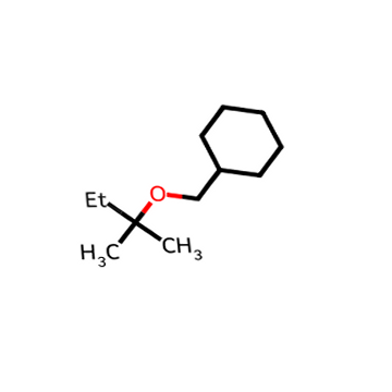 CCC(C)(C)OCC1CCCCC1